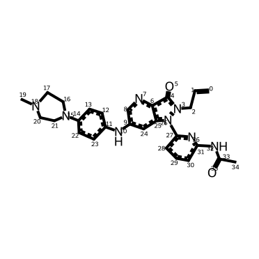 C=CCn1c(=O)c2ncc(Nc3ccc(N4CCN(C)CC4)cc3)cc2n1-c1cccc(NC(C)=O)n1